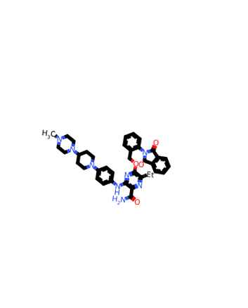 CCc1nc(C(N)=O)c(Nc2ccc(N3CCC(N4CCN(C)CC4)CC3)cc2)nc1OCc1ccccc1N1C(=O)c2ccccc2C1=O